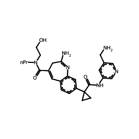 CCCN(CCO)C(=O)C1=Cc2ccc(C3(C(=O)Nc4cncc(CN)c4)CC3)cc2N=C(N)C1